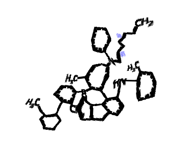 C=C/C=C\C=C/N(c1ccccc1)c1cc(C)c(Bc2cccc(C3=C(C)C=CCC3)c2C)c(-c2c(Nc3ccccc3C)ccc3c2C2=C(C=C=C2)C3)c1